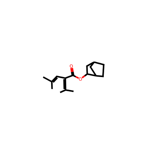 CC(C)=CC(C(=O)OC1CC2CCC1C2)=C(C)C